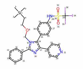 C[Si](C)(C)CCOCn1c(-c2ccccc2)nc(-c2ccncc2)c1-c1ccc(NS(=O)(=O)C(I)(I)I)cc1